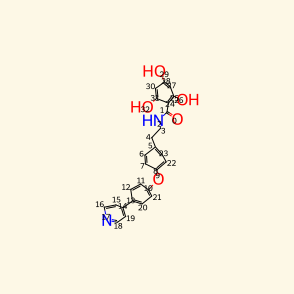 O=C(NCCc1ccc(Oc2ccc(-c3ccncc3)cc2)cc1)c1c(O)cc(O)cc1O